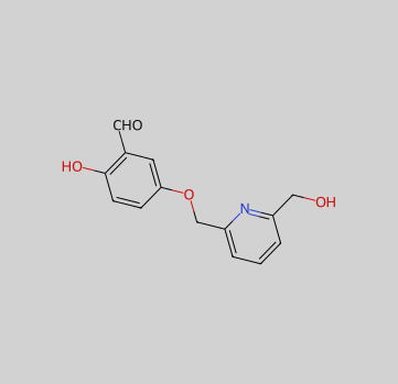 O=Cc1cc(OCc2cccc(CO)n2)ccc1O